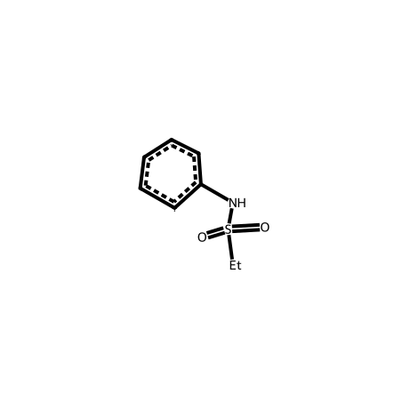 CCS(=O)(=O)Nc1[c]cccc1